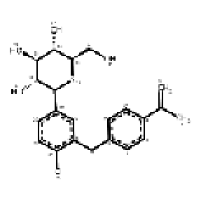 C=C(C)c1ccc(Cc2cc([C@@H]3S[C@H](CO)[C@@H](O)[C@H](O)[C@H]3O)ccc2Cl)cc1